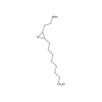 CCCCCCCCCCCCC1OC1CCCCCCCC(=O)OCC